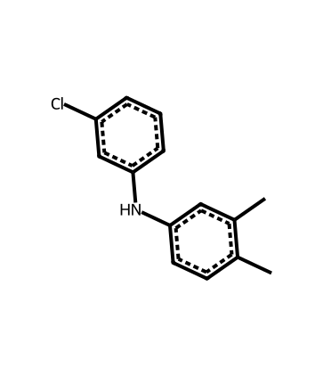 Cc1ccc(Nc2cccc(Cl)c2)cc1C